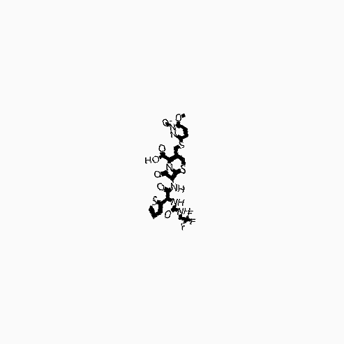 COc1ccc(SCC2=C(C(=O)O)N3C(=O)[C@@H](NC(=O)C(NC(=O)NCC(F)(F)F)c4cccs4)C3SC2)n[n+]1[O-]